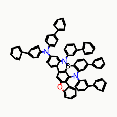 c1ccc(-c2ccc(N(c3ccc(-c4ccccc4)cc3)c3ccc4c(c3)N(c3cccc(-c5ccccc5)c3)B3c5ccc(-c6ccccc6)cc5N(c5cccc(-c6ccccc6)c5)c5c3c-4cc3oc4ccccc4c53)cc2)cc1